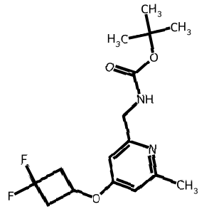 Cc1cc(OC2CC(F)(F)C2)cc(CNC(=O)OC(C)(C)C)n1